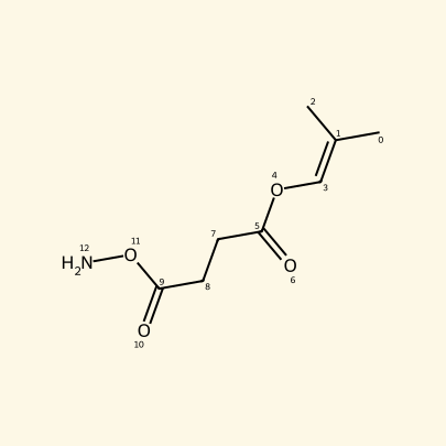 CC(C)=COC(=O)CCC(=O)ON